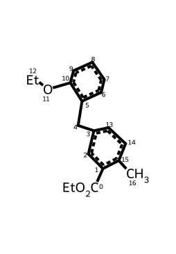 CCOC(=O)c1cc(Cc2ccccc2OCC)ccc1C